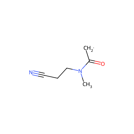 [CH2]C(=O)N(C)CCC#N